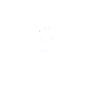 CCC(C)[C@H](NC(=O)OC(C)(C)C)C(=O)N1CC[C@H]1C(N)=O